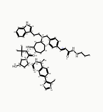 CCCNNC(=O)/C=C/c1ccc(CN(CCc2c[nH]c3ccccc23)C2CCCCC(N[C@H](C(=O)N3C[C@H](O)C[C@H]3C(=O)N[C@@H](C)c3ccc(-c4scnc4C)cc3)C(C)(C)C)C2)cc1